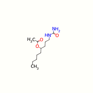 CCCCCC(CCCNC(N)=O)OC(C)=O